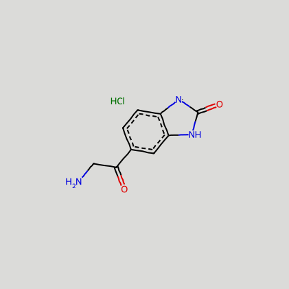 Cl.NCC(=O)c1ccc2c(c1)NC(=O)[N]2